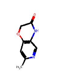 Cc1cc2c(cn1)NC(=O)CO2